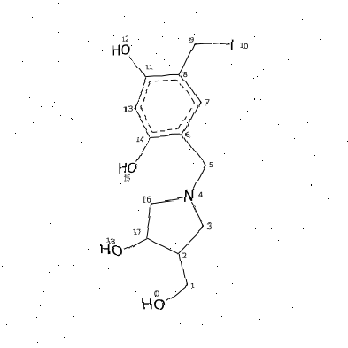 OCC1CN(Cc2cc(CI)c(O)cc2O)CC1O